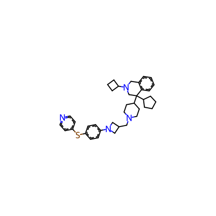 c1ccc2c(c1)CN(C1CCC1)CC2(C1CCCC1)C1CCN(CC2CN(c3ccc(Sc4ccncc4)cc3)C2)CC1